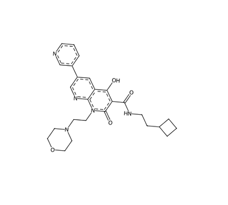 O=C(NCCC1CCC1)c1c(O)c2cc(-c3cccnc3)cnc2n(CCN2CCOCC2)c1=O